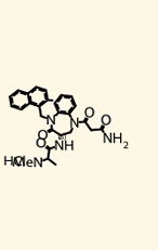 CNC(C)C(=O)N[C@H]1CN(C(=O)CC(N)=O)c2ccccc2N(Cc2c(C)ccc3ccccc23)C1=O.Cl